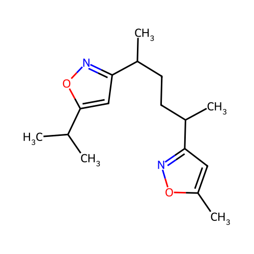 Cc1cc(C(C)CCC(C)c2cc(C(C)C)on2)no1